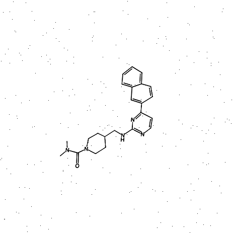 CN(C)C(=O)N1CCC(CNc2nccc(-c3ccc4ccccc4c3)n2)CC1